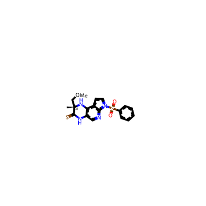 COC[C@]1(C)Nc2c(cnc3c2ccn3S(=O)(=O)c2ccccc2)NC1=S